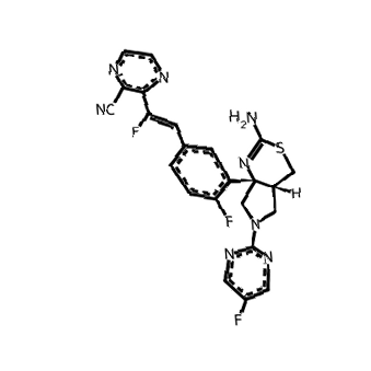 N#Cc1nccnc1/C(F)=C/c1ccc(F)c([C@]23CN(c4ncc(F)cn4)C[C@H]2CSC(N)=N3)c1